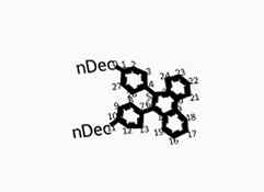 CCCCCCCCCCc1ccc(-c2c(-c3ccc(CCCCCCCCCC)cc3)c3ccccc3c3ccccc23)cc1